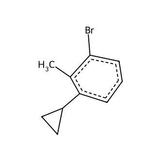 Cc1c(Br)cccc1C1CC1